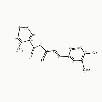 COc1cc(C=CC(=O)CC(=O)c2ccccc2C)ccc1O